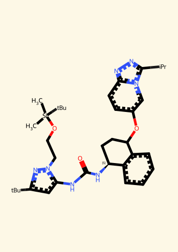 CC(C)c1nnc2ccc(OC3CC[C@H](NC(=O)Nc4cc(C(C)(C)C)nn4CCO[Si](C)(C)C(C)(C)C)c4ccccc43)cn12